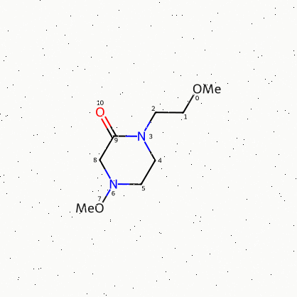 COCCN1CCN(OC)CC1=O